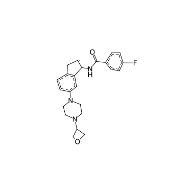 O=C(NC1[CH]Cc2ccc(N3CCN(C4COC4)CC3)cc21)c1ccc(F)cc1